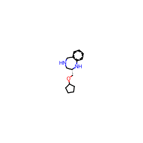 c1ccc2c(c1)CNC[C@@H](COC1CCCC1)N2